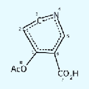 CC(=O)Oc1c[c]ncc1C(=O)O